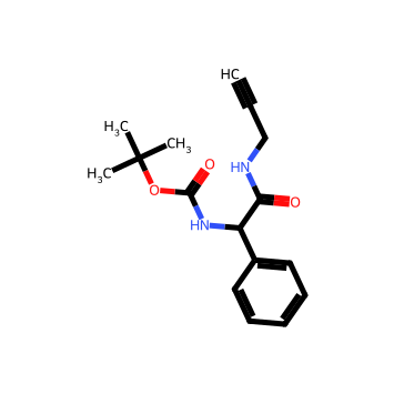 C#CCNC(=O)C(NC(=O)OC(C)(C)C)c1ccccc1